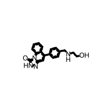 O=c1[nH]nc2cc(-c3ccc(CNCCO)cc3)c3ccccc3n12